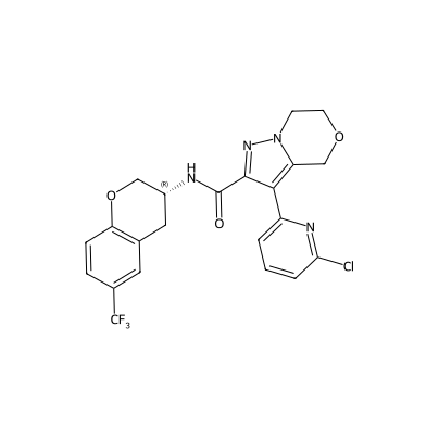 O=C(N[C@H]1COc2ccc(C(F)(F)F)cc2C1)c1nn2c(c1-c1cccc(Cl)n1)COCC2